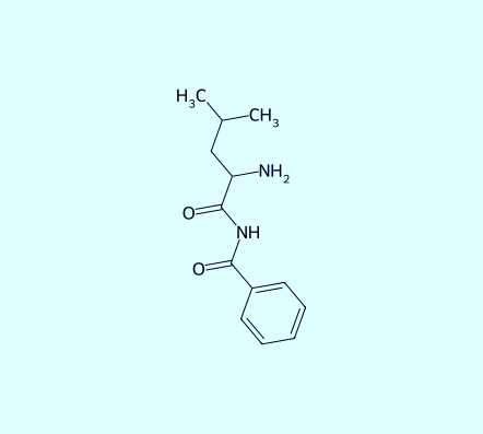 CC(C)CC(N)C(=O)NC(=O)c1ccccc1